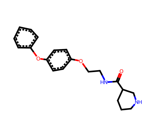 O=C(NCCOc1ccc(Oc2ccccc2)cc1)C1CCCNC1